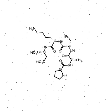 CC(C)C[C@H](NC(=O)[C@H](C)NC(=O)[C@@H]1CCCN1)C(=O)N[C@@H](CCCCN)C(=O)N[C@@H](CC(=O)O)C(=O)O